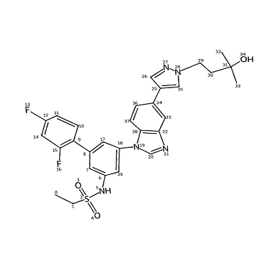 CCS(=O)(=O)Nc1cc(-c2ccc(F)cc2F)cc(-n2cnc3cc(-c4cnn(CCC(C)(C)O)c4)ccc32)c1